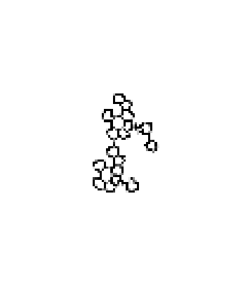 c1ccc(-c2cccc(-n3c4cc5sc6ccccc6c5c5c4c4c6c(ccc(-c7ccc8c(c7)sc7cc9c%10c(c78)-c7ccccc7-c7cccc8ccc(c%10c78)n9-c7ccccn7)c6ccc43)-c3ccccc3-5)n2)cc1